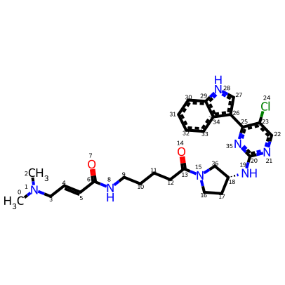 CN(C)C/C=C/C(=O)NCCCCC(=O)N1CC[C@@H](Nc2ncc(Cl)c(-c3c[nH]c4ccccc34)n2)C1